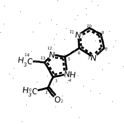 CC(=O)c1[nH]c(-c2ncccn2)nc1C